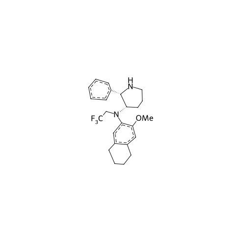 COc1cc2c(cc1N(CC(F)(F)F)[C@H]1CCCN[C@H]1c1ccccc1)CCCC2